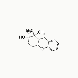 CC1(O)CCC2Oc3ccccc3CC2C1(C)C